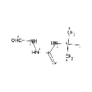 C=C(NNC=O)NC(C)(C(F)(F)F)C(F)(F)F